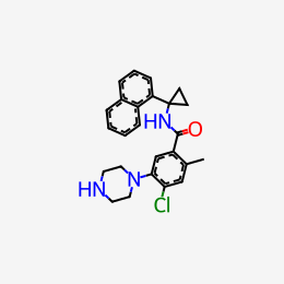 Cc1cc(Cl)c(N2CCNCC2)cc1C(=O)NC1(c2cccc3ccccc23)CC1